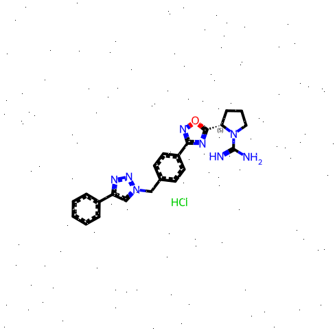 Cl.N=C(N)N1CCC[C@H]1c1nc(-c2ccc(Cn3cc(-c4ccccc4)nn3)cc2)no1